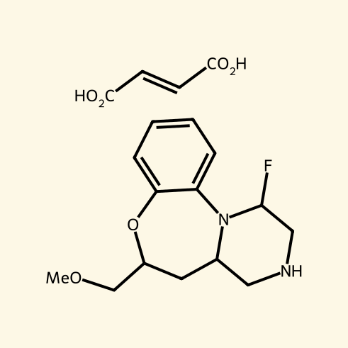 COCC1CC2CNCC(F)N2c2ccccc2O1.O=C(O)/C=C/C(=O)O